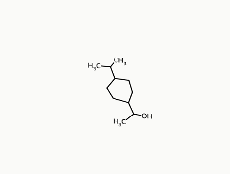 CC(C)C1CCC(C(C)O)CC1